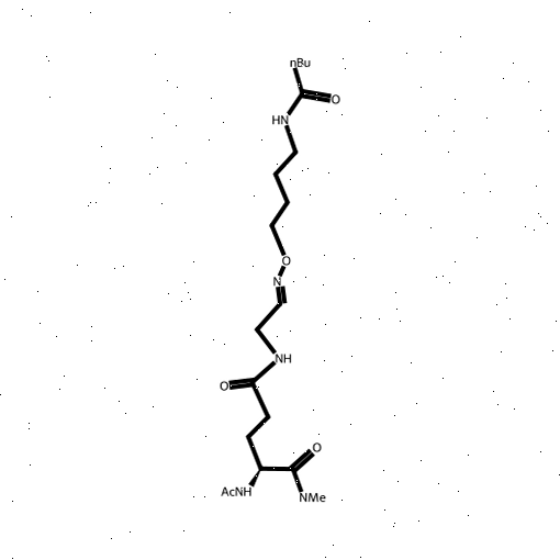 CCCCC(=O)NCCCCON=CCNC(=O)CC[C@H](NC(C)=O)C(=O)NC